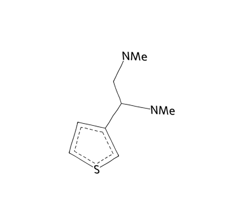 CNCC(NC)c1ccsc1